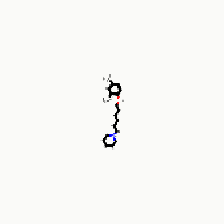 Cc1ccc(OCCCCCCN2CCCCC2)c(C)c1